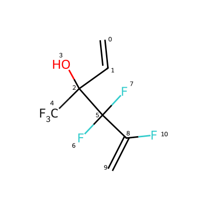 C=CC(O)(C(F)(F)F)C(F)(F)C(=C)F